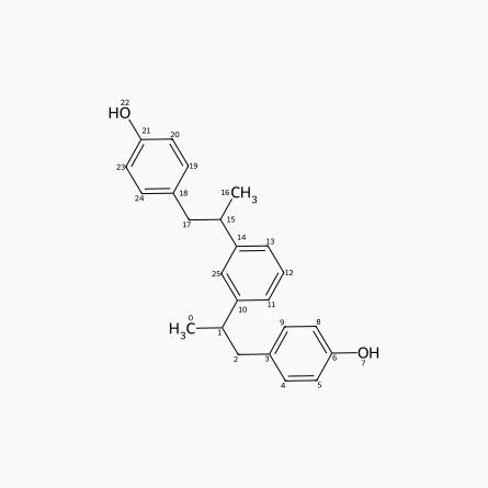 CC(Cc1ccc(O)cc1)c1cccc(C(C)Cc2ccc(O)cc2)c1